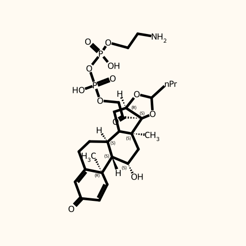 CCCC1O[C@@H]2CC3[C@@H]4CCC5=CC(=O)C=C[C@]5(C)[C@H]4[C@@H](O)C[C@]3(C)[C@]2(C(=O)COP(=O)(O)OP(=O)(O)OCCN)O1